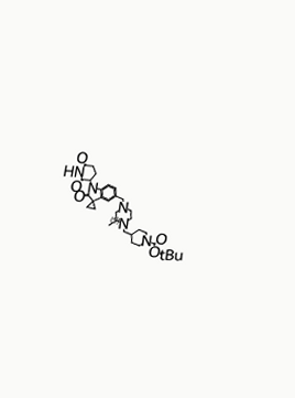 C[C@H]1CN(Cc2ccc3c(c2)C2(CC2)C(=O)N3C2CCC(=O)NC2=O)CCN1CC1CCN(C(=O)OC(C)(C)C)CC1